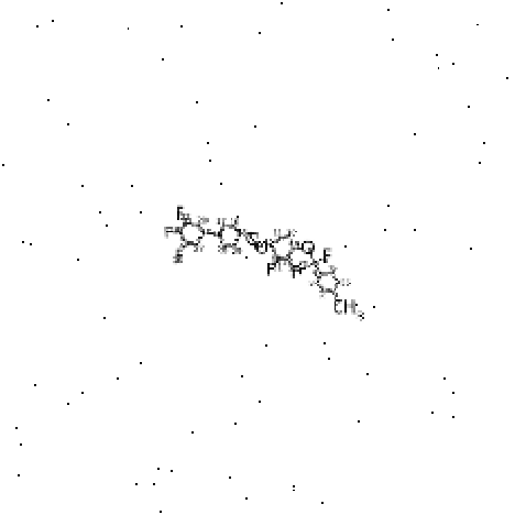 Cc1ccc(C(F)(F)Oc2ccc(OCc3ccc(-c4cc(F)c(F)c(F)c4)cc3)c(F)c2F)cc1